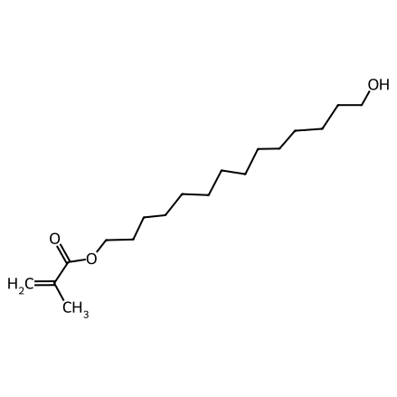 C=C(C)C(=O)OCCCCCCCCCCCCCCO